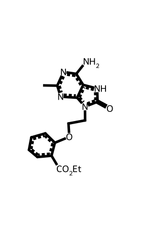 CCOC(=O)c1ccccc1OCCn1c(=O)[nH]c2c(N)nc(C)nc21